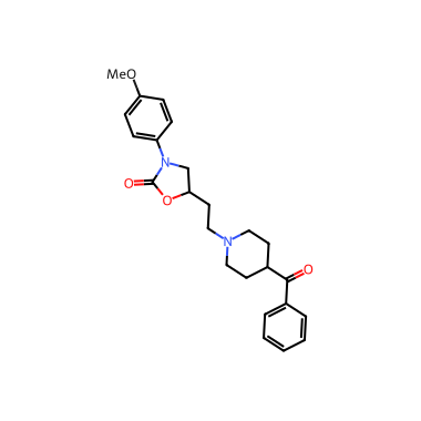 COc1ccc(N2CC(CCN3CCC(C(=O)c4ccccc4)CC3)OC2=O)cc1